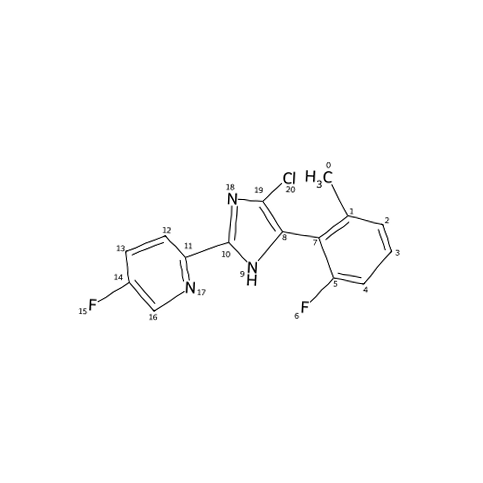 Cc1cccc(F)c1-c1[nH]c(-c2ccc(F)cn2)nc1Cl